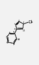 ClC1C=CC(c2ccccc2)=C1